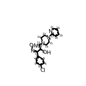 CON=C(c1ccc(Cl)cc1)C(O)CN1CCN(c2ccccn2)CC1